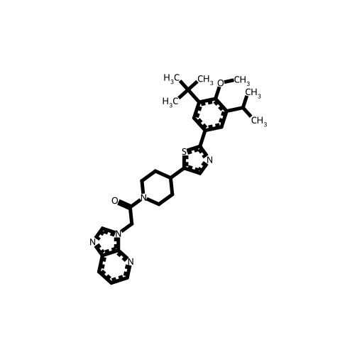 COc1c(C(C)C)cc(-c2ncc(C3CCN(C(=O)Cn4cnc5cccnc54)CC3)s2)cc1C(C)(C)C